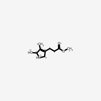 COC(=O)CCC1=C(C)C(O)NC1